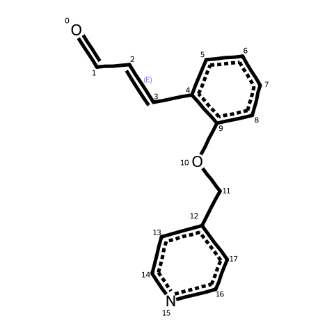 O=C/C=C/c1ccccc1OCc1ccncc1